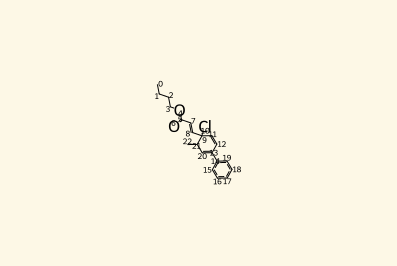 CCCCOC(=O)/C=C/C1(Cl)C=CC(c2ccccc2)=CC1C